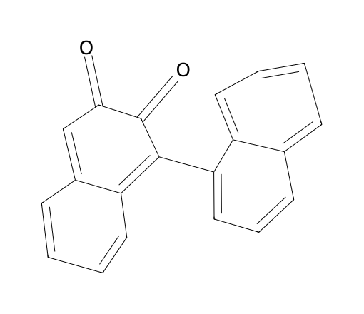 O=C1C=c2ccccc2=C(c2cccc3ccccc23)C1=O